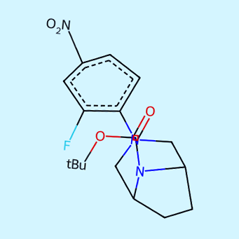 CC(C)(C)OC(=O)N1C2CCC1CN(c1ccc([N+](=O)[O-])cc1F)C2